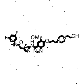 COc1cc2c(Nc3ncc(CC(=O)Nc4cc(F)cc(F)c4)s3)ncnc2cc1OCCCN1CCN(CCO)CC1